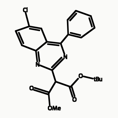 COC(=O)C(C(=O)OC(C)(C)C)c1nc(-c2ccccc2)c2cc(Cl)ccc2n1